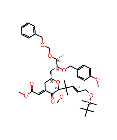 COC(=O)C=C1C[C@@H](C[C@@H](OCc2ccc(OC)cc2)[C@@H](C)OCOCc2ccccc2)O[C@@](OC)(C(C)(C)/C=C/CO[Si](C)(C)C(C)(C)C)C1=O